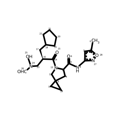 Cc1cc(NC(=O)C2CC3(CC3)CN2C(=O)[C@H](CC2CCCC2)CN(O)C=O)no1